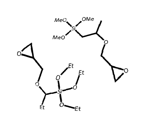 CCO[Si](OCC)(OCC)C(CC)OCC1CO1.CO[Si](CC(C)OCC1CO1)(OC)OC